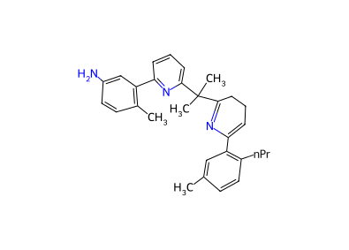 CCCc1ccc(C)cc1C1=CCCC(C(C)(C)c2cccc(-c3cc(N)ccc3C)n2)=N1